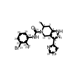 CC1Cc2[nH]nc(-c3cscn3)c2CN1C(=O)Nc1cccc(Br)c1F